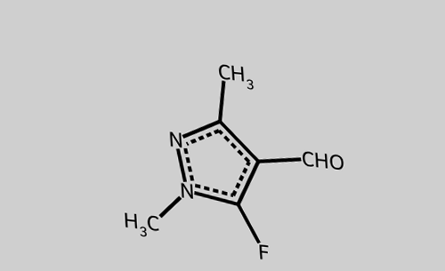 Cc1nn(C)c(F)c1C=O